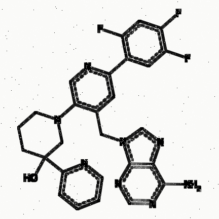 Nc1ncnc2c1ncn2Cc1cc(-c2cc(F)c(F)cc2F)ncc1N1CCCC(O)(c2ccccn2)C1